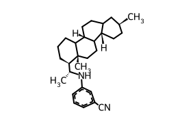 C[C@H]1CC[C@H]2C(CC[C@@H]3C2CC[C@@]2(C)C3CCC[C@@H]2[C@@H](C)Nc2cccc(C#N)c2)C1